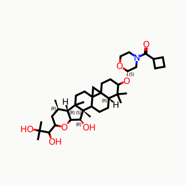 C[C@@H]1CC(C(O)C(C)(C)O)OC2[C@H]1C1(C)CCC34CC35CCC(O[C@H]3CN(C(=O)C6CCC6)CCO3)C(C)(C)[C@@H]5CCC4[C@]1(C)[C@H]2O